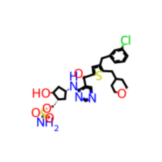 NS(=O)(=O)OC[C@H]1C[C@@H](Nc2ncncc2C(=O)c2cc(Cc3cccc(Cl)c3)c(CC3CCOCC3)s2)C[C@@H]1O